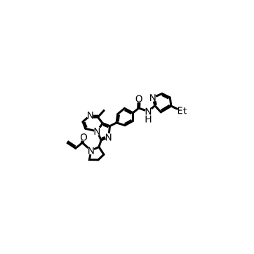 C=CC(=O)N1CCCC1c1nc(-c2ccc(C(=O)Nc3cc(CC)ccn3)cc2)c2c(C)nccn12